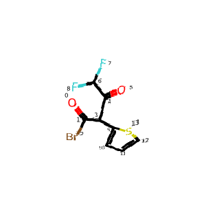 O=C(Br)C(C(=O)C(F)F)c1cccs1